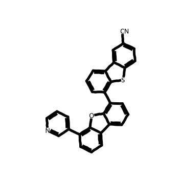 N#Cc1ccc2sc3c(-c4cccc5c4oc4c(-c6cccnc6)cccc45)cccc3c2c1